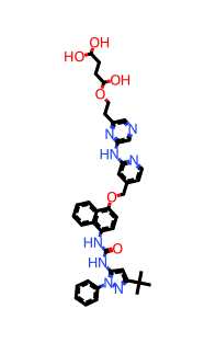 CC(C)(C)c1cc(NC(=O)Nc2ccc(OCc3ccnc(Nc4cncc(CCOC(O)CCC(O)O)n4)c3)c3ccccc23)n(-c2ccccc2)n1